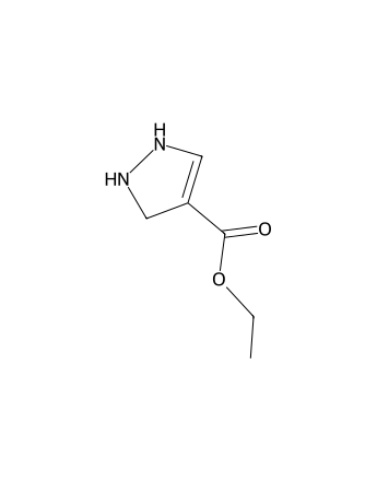 CCOC(=O)C1=CNNC1